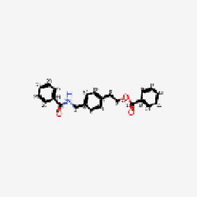 O=C(NCc1ccc(CCOC(=O)c2ccccc2)cc1)c1ccccc1